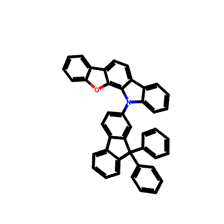 c1ccc(C2(c3ccccc3)c3ccccc3-c3ccc(-n4c5ccccc5c5ccc6c7ccccc7oc6c54)cc32)cc1